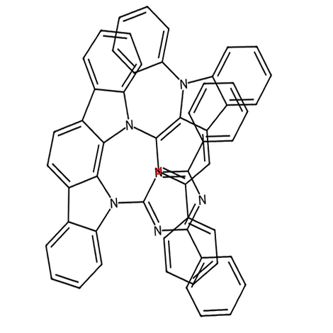 c1ccc(-c2cc(-n3c4ccccc4c4ccc5c6ccccc6n(-c6nc(-c7ccccc7)nc(-c7ccccc7)n6)c5c43)c3c(c2)c2ccccc2n3-c2ccccc2)cc1